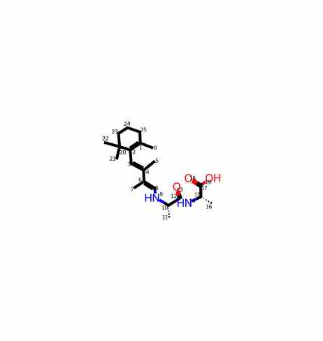 CC1=C(/C=C(C)/C(C)=C/N[C@@H](C)C(=O)N[C@@H](C)C(=O)O)C(C)(C)CCC1